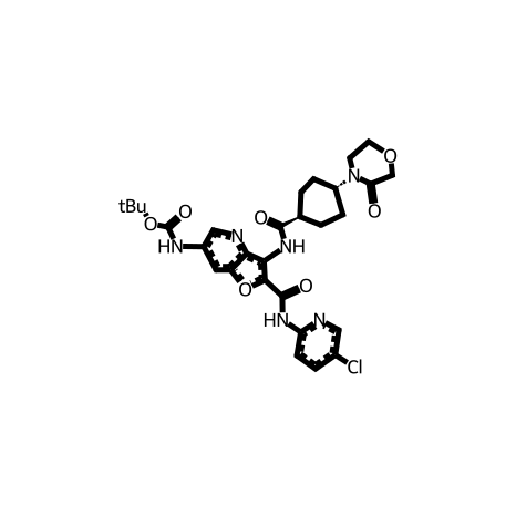 CC(C)(C)OC(=O)Nc1cnc2c(NC(=O)[C@H]3CC[C@H](N4CCOCC4=O)CC3)c(C(=O)Nc3ccc(Cl)cn3)oc2c1